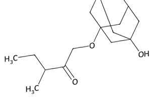 CCC(C)C(=O)COC12CC3CC(CC(O)(C3)C1)C2